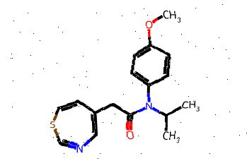 COc1ccc(N(C(=O)CC2=CN=CSC=C2)C(C)C)cc1